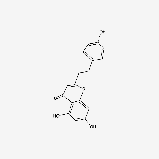 O=c1cc(CCc2ccc(O)cc2)oc2cc(O)cc(O)c12